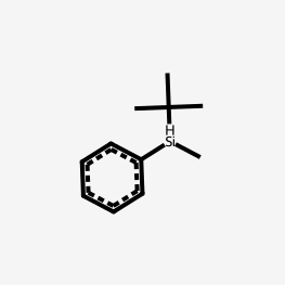 C[SiH](c1ccccc1)C(C)(C)C